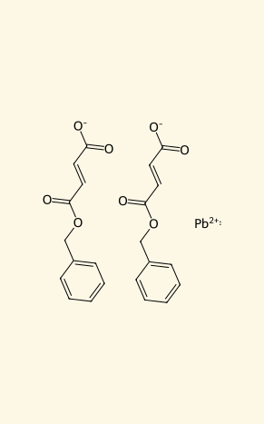 O=C([O-])/C=C/C(=O)OCc1ccccc1.O=C([O-])/C=C/C(=O)OCc1ccccc1.[Pb+2]